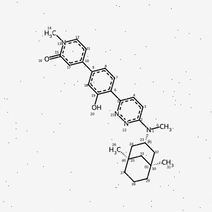 CN(c1ccc(-c2ccc(-c3ccn(C)c(=O)c3)cc2O)nn1)[C@H]1C[C@]2(C)CCC[C@](C)(C1)C2